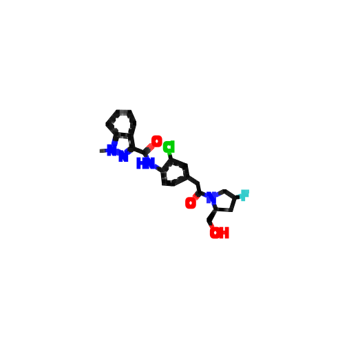 Cn1nc(C(=O)Nc2ccc(CC(=O)N3C[C@@H](F)C[C@H]3CO)cc2Cl)c2ccccc21